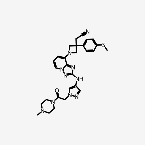 CSc1ccc(C2(CC#N)CN(c3cccn4nc(Nc5cnn(CC(=O)N6CCN(C)CC6)c5)nc34)C2)cc1